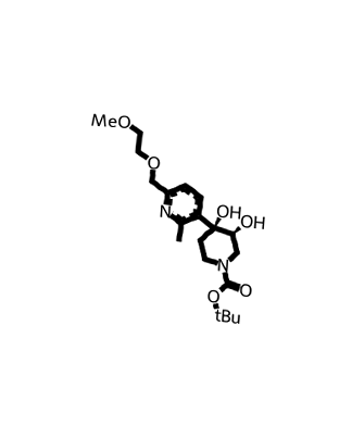 COCCOCc1ccc([C@@]2(O)CCN(C(=O)OC(C)(C)C)C[C@@H]2O)c(C)n1